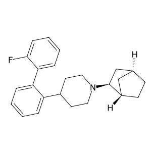 Fc1ccccc1-c1ccccc1C1CCN([C@H]2C[C@H]3CC[C@H]2C3)CC1